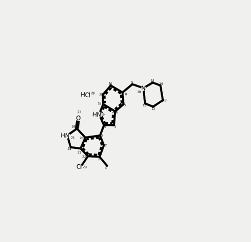 Cc1cc(-c2cc3cc(CN4CCCCC4)ccc3[nH]2)c2c(c1Cl)CNC2=O.Cl